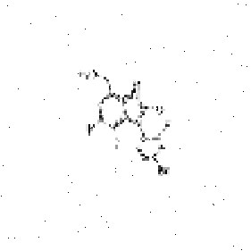 O=c1[nH]c2c(CO)cc(F)c(F)c2n1-c1ccc(Br)cc1F